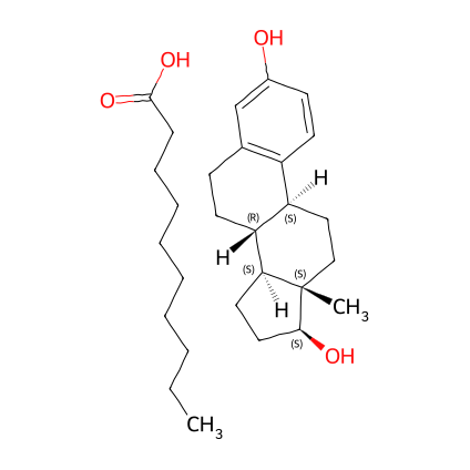 CCCCCCCCCC(=O)O.C[C@]12CC[C@@H]3c4ccc(O)cc4CC[C@H]3[C@@H]1CC[C@@H]2O